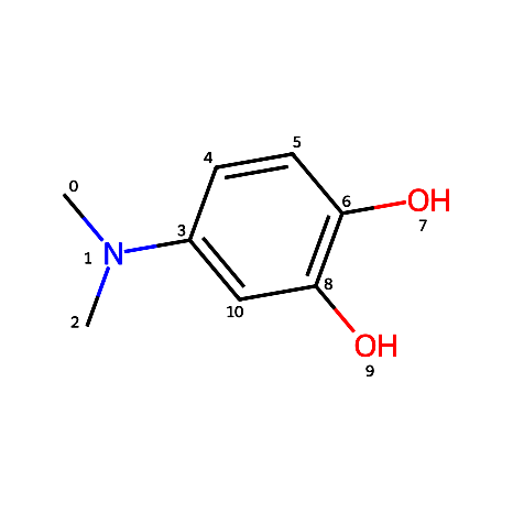 CN(C)c1ccc(O)c(O)c1